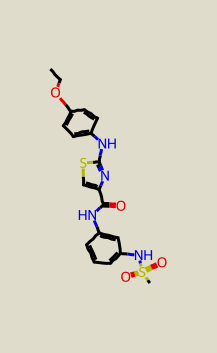 CCOc1ccc(Nc2nc(C(=O)Nc3cccc(NS(C)(=O)=O)c3)cs2)cc1